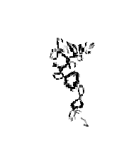 COC(=O)C(C(=O)OC)C(=O)C(C)Oc1ccc(Oc2ccc(C(F)(F)F)cc2)cc1